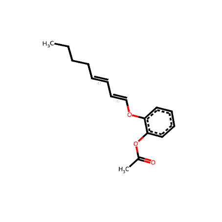 CCCC/C=C/C=C/Oc1ccccc1OC(C)=O